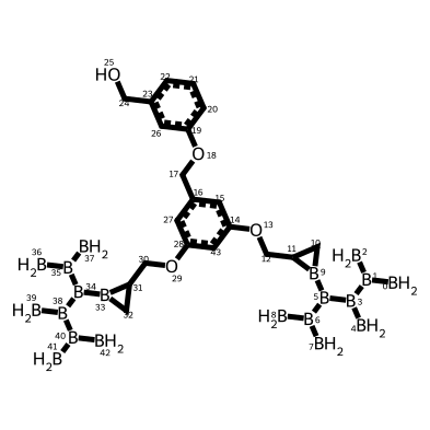 BB(B)B(B)B(B(B)B)B1CC1COc1cc(COc2cccc(CO)c2)cc(OCC2CB2B(B(B)B)B(B)B(B)B)c1